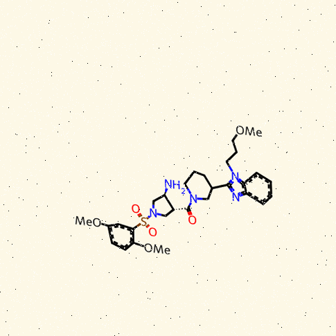 COCCCn1c(C2CCCN(C(=O)[C@@H]3CN(S(=O)(=O)c4cc(OC)ccc4OC)C[C@H]3N)C2)nc2ccccc21